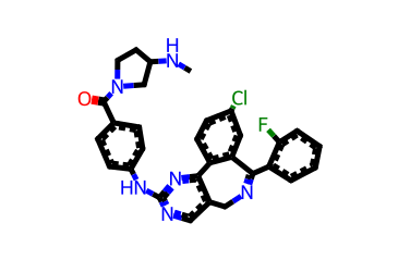 CNC1CCN(C(=O)c2ccc(Nc3ncc4c(n3)-c3ccc(Cl)cc3C(c3ccccc3F)=NC4)cc2)C1